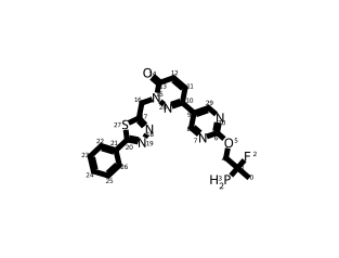 CC(F)(P)COc1ncc(-c2ccc(=O)n(Cc3nnc(-c4ccccc4)s3)n2)cn1